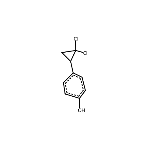 Oc1ccc(C2CC2(Cl)Cl)cc1